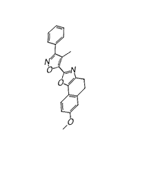 COc1ccc2c(c1)CCc1nc(-c3onc(-c4ccccc4)c3C)oc1-2